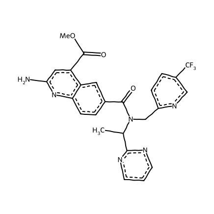 COC(=O)c1cc(N)nc2ccc(C(=O)N(Cc3ccc(C(F)(F)F)cn3)C(C)c3ncccn3)cc12